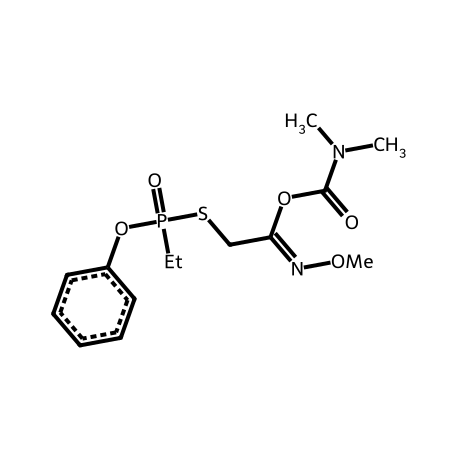 CCP(=O)(Oc1ccccc1)SCC(=NOC)OC(=O)N(C)C